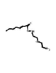 CCCCC=CC(=O)ONCCNCCN